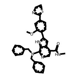 CNC(=O)c1cnc(N(Cc2ccccc2)Cc2ccccc2)c2[nH]c(-c3ccc(-c4nccs4)cc3OC)cc12